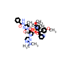 COc1ccc(C(OC[C@@]23CN(c4ccnc(N(C)C)n4)[C@H]([C@H](n4cc(C)c(NC(=O)c5ccccc5)nc4=O)O2)[C@]3(O)OP(OCCC#N)N(C(C)C)C(C)C)(c2ccccc2)c2ccc(OC)cc2)cc1